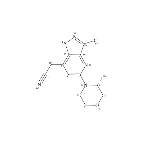 C[C@@H]1COCCN1c1cc(CC#N)c2snc(Cl)c2n1